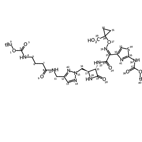 CC(C)(C)OC(=O)NCCCC(=O)NCc1cnn(C[C@@H]2NC(=O)[C@H]2NC(=O)C(=NOC2(C(=O)O)CC2)c2csc(NC(=O)OC(C)(C)C)n2)n1